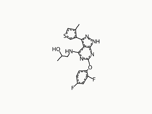 Cc1cscc1-c1n[nH]c2nc(Oc3ccc(F)cc3F)nc(NCC(C)O)c12